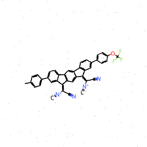 [C-]#[N+]/C(C#N)=C1/c2cc(-c3ccc(OC(F)(F)F)cc3)ccc2-c2cc3c(cc21)/C(=C(\C#N)[N+]#[C-])c1cc(-c2ccc(C)cc2)ccc1-3